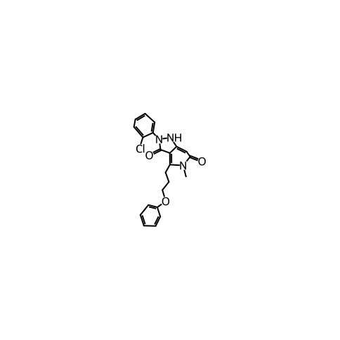 Cn1c(CCCOc2ccccc2)c2c(=O)n(-c3ccccc3Cl)[nH]c2cc1=O